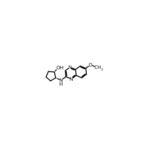 COc1ccc2nc(N[C@H]3CCC[C@H]3O)cnc2c1